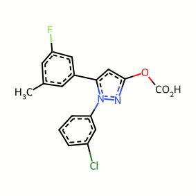 Cc1cc(F)cc(-c2cc(OC(=O)O)nn2-c2cccc(Cl)c2)c1